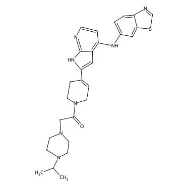 CC(C)N1CCN(CC(=O)N2CC=C(c3cc4c(Nc5ccc6ncsc6c5)ccnc4[nH]3)CC2)CC1